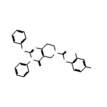 O=C(Nc1ccc(Cl)cc1Cl)N1CCc2nc(Nc3ccccc3)n(-c3ccccc3)c(=O)c2C1